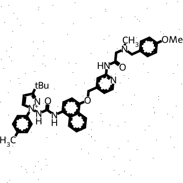 COc1ccc(CN(C)CC(=O)Nc2cc(COc3ccc(NC(=O)N[N+]4(c5ccc(C)cc5)C=CC(C(C)(C)C)=N4)c4ccccc34)ccn2)cc1